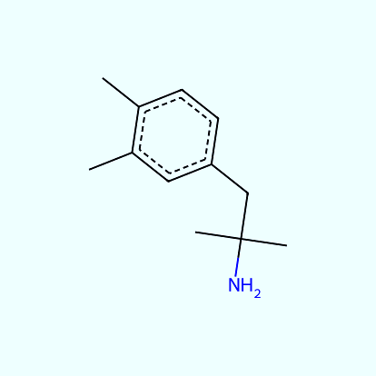 Cc1ccc(CC(C)(C)N)cc1C